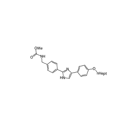 CCCCCCCOc1ccc(-c2c[nH]c(-c3ccc(CNC(=O)OC)cc3)n2)cc1